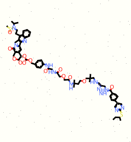 CCC(C)Sc1ncc(-c2ccc(C(=O)NC/C(=C/NCC(C)(C)COCCC(C)(C)NC(=O)COCC(=O)NCC(=O)Nc3ccc(COC(=O)O[C@@H]4C(=O)OCc5c4cc4n(c5=O)Cc5c-4nc4ccccc4c5CCN(C(C)C)[S+](C)[O-])cc3)N=N)cc2)cn1